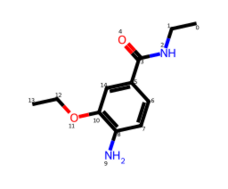 CCNC(=O)c1ccc(N)c(OCC)c1